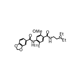 CCN(CC)CCNC(=O)c1cc([131I])c(NC(=O)c2ccc3c(c2)OCO3)cc1OC